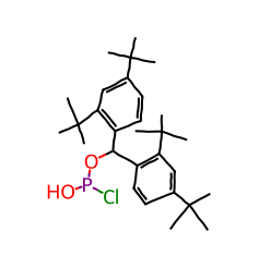 CC(C)(C)c1ccc(C(OP(O)Cl)c2ccc(C(C)(C)C)cc2C(C)(C)C)c(C(C)(C)C)c1